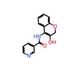 O=C(NC1=C(O)COc2ccccc21)c1cccnc1